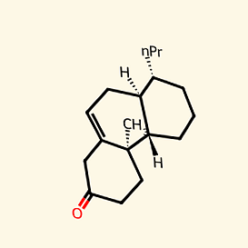 CCC[C@@H]1CCC[C@H]2[C@H]1CC=C1CC(=O)CC[C@@]12C